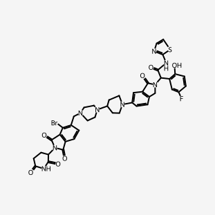 O=C1CCC(N2C(=O)c3ccc(CN4CCN(C5CCN(c6ccc7c(c6)C(=O)N(C(C(=O)Nc6nccs6)c6cc(F)ccc6O)C7)CC5)CC4)c(Br)c3C2=O)C(=O)N1